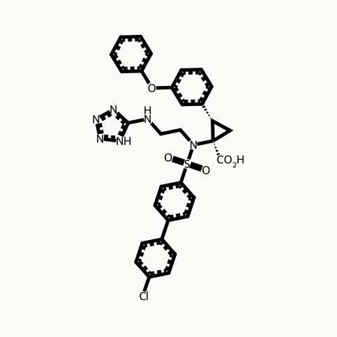 O=C(O)[C@@]1(N(CCNc2nnn[nH]2)S(=O)(=O)c2ccc(-c3ccc(Cl)cc3)cc2)C[C@H]1c1cccc(Oc2ccccc2)c1